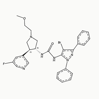 COCCN1C[C@H](NC(=O)Nc2c(Br)c(-c3ccccc3)nn2-c2ccccc2)[C@@H](c2cncc(F)c2)C1